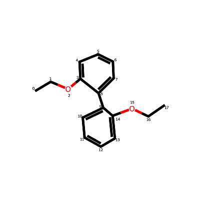 CCOc1c[c]ccc1-c1ccccc1OCC